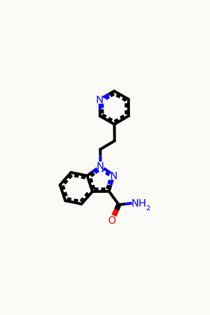 NC(=O)c1nn(CCc2cccnc2)c2ccccc12